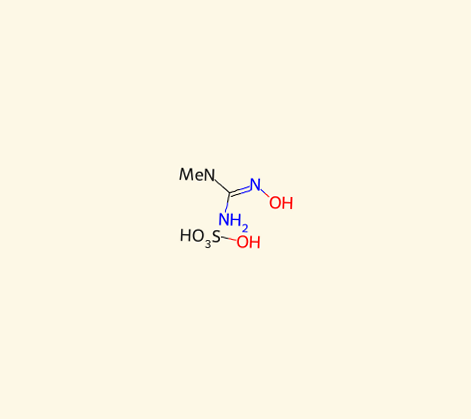 CNC(N)=NO.O=S(=O)(O)O